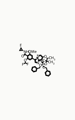 COc1cc(-c2cnc3cc(O[C@@H](C)C(C)(C)OP(=O)(OCc4ccccc4)OCc4ccccc4)cnn23)cc(OC(F)F)c1C(=O)N[C@@H]1C[C@@H]1F